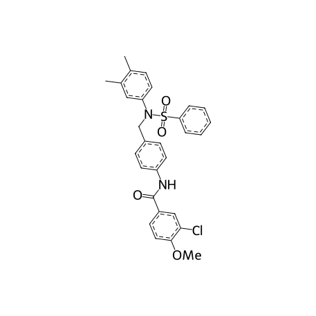 COc1ccc(C(=O)Nc2ccc(CN(c3ccc(C)c(C)c3)S(=O)(=O)c3ccccc3)cc2)cc1Cl